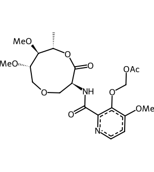 COc1ccnc(C(=O)N[C@H]2COC[C@H](OC)[C@@H](OC)[C@H](C)OC2=O)c1OCOC(C)=O